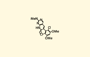 CNc1ncc2cc(-c3c(Cl)c(OC)cc(OC)c3Cl)c(=O)[nH]c2n1